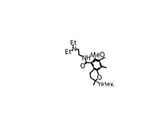 CCCCCCC1(C)CCc2c(c(C)c(C)c(OC)c2C(=O)NCCN(CC)CC)O1